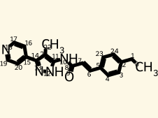 CCc1ccc(C=CC(=O)Nc2[nH]nc(-c3ccncc3)c2C)cc1